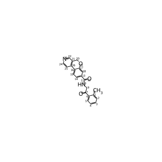 Cc1ccccc1C(=O)CNC(=O)c1ccc2c(c1)OCc1cnccc1-2